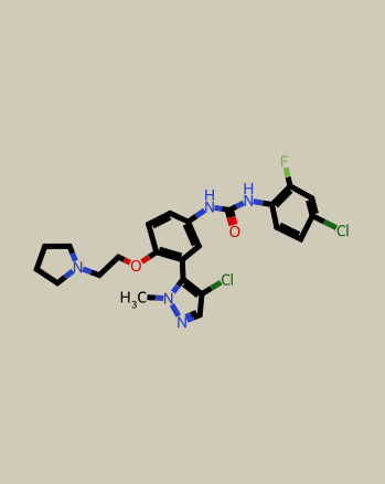 Cn1ncc(Cl)c1-c1cc(NC(=O)Nc2ccc(Cl)cc2F)ccc1OCCN1CCCC1